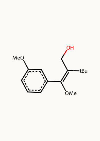 COC(=C(CO)C(C)(C)C)c1cccc(OC)c1